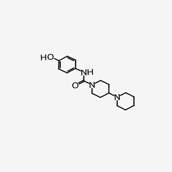 O=C(Nc1ccc(O)cc1)N1CCC(N2CCCCC2)CC1